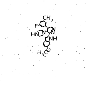 COc1ccc2cc(-c3nncc(-c4cc(C)cc(F)c4)c3N3CCNCC3)[nH]c2c1